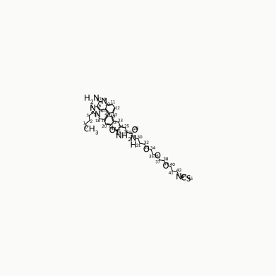 CCCCc1nc2c(N)nc3ccccc3c2n1Cc1ccc(CC(CCC(=O)NCCCOCCOCCOCCCN=C=S)C(N)=O)cc1